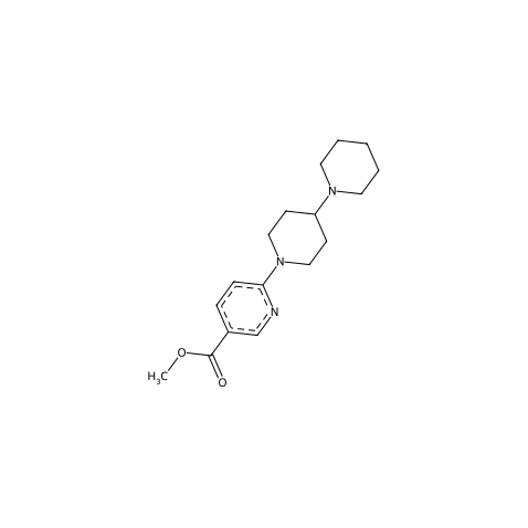 COC(=O)c1ccc(N2CCC(N3CCCCC3)CC2)nc1